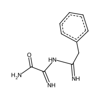 N=C(Cc1ccccc1)NC(=N)C(N)=O